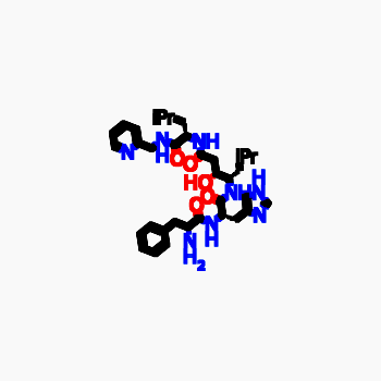 CC(C)C[C@H](NC(=O)C[C@H](O)[C@H](CC(C)C)NC(=O)[C@H](Cc1c[nH]cn1)NC(=O)[C@@H](N)Cc1ccccc1)C(=O)NCc1ccccn1